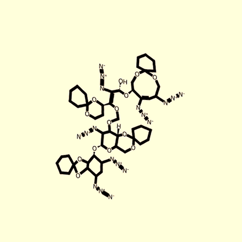 [N-]=[N+]=N/C1=C/C(N=[N+]=[N-])COC2(CCCCC2)OC[C@@H]1O[C@@H](O)/C(N=[N+]=[N-])=C(\OCOC1C(N=[N+]=[N-])[C@@H](O[C@@H]2C(N=[N+]=[N-])CC(N=[N+]=[N-])C3OC4(CCCCC4)OC32)OC2COC3(CCCCC3)O[C@H]21)[C@H]1CCOC2(CCCCC2)O1